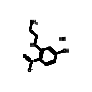 Cl.NCCNc1cc(O)ccc1[N+](=O)[O-]